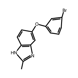 Cc1nc2cc(Oc3cccc(Br)c3)ccc2[nH]1